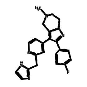 CN1CCn2nc(-c3ccc(F)cc3)c(-c3ccnc(Cc4ncc[nH]4)c3)c2C1